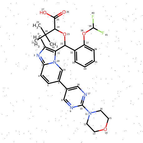 Cc1nc2ccc(-c3cnc(N4CCOCC4)nc3)cn2c1C(OC(C(=O)O)C(C)(C)C)c1ccccc1OC(F)F